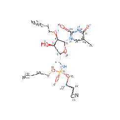 COCCO[C@@H]1[C@H](O)[C@@H](CNP(=O)(OCCC#N)OCCC#N)O[C@H]1n1cc(C)c(=O)[nH]c1=O